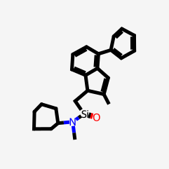 CC1=Cc2c(-c3ccccc3)cccc2C1C[Si](=O)N(C)C1CCCCC1